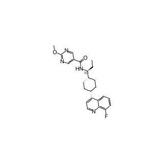 CC[C@H](NC(=O)c1cnc(OC)nc1)[C@H]1CC[C@@H](c2ccnc3c(F)cccc32)CC1